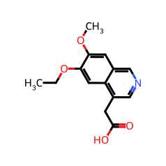 CCOc1cc2c(CC(=O)O)cncc2cc1OC